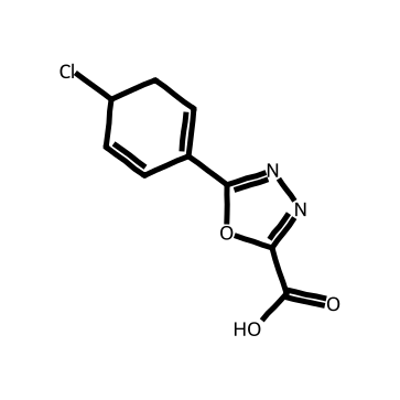 O=C(O)c1nnc(C2=CCC(Cl)C=C2)o1